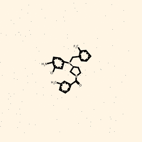 Cc1cccc(C(=O)N2CC[C@H](N(Cc3ccccc3C(F)(F)F)c3ccc(N)c(Cl)c3)C2)c1